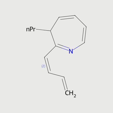 C=C/C=C\C1=NC=CC=CC1CCC